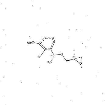 COc1cccc([C@@H](C)OC[C@H]2CO2)c1Br